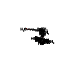 CCCCCCCCCCCCCCCCCC(=O)N[C@H](C(=O)N[C@@H](C)C(=O)Nc1ccc(CSP2(=O)OC[C@H]3O[C@@H](n4cnc5c(N)ncnc54)[C@H](F)[C@@H]3OP(=O)(O)OC[C@H]3O[C@@H](n4cnc5c(O)ncnc54)[C@H](F)[C@@H]32)cc1)C(C)C